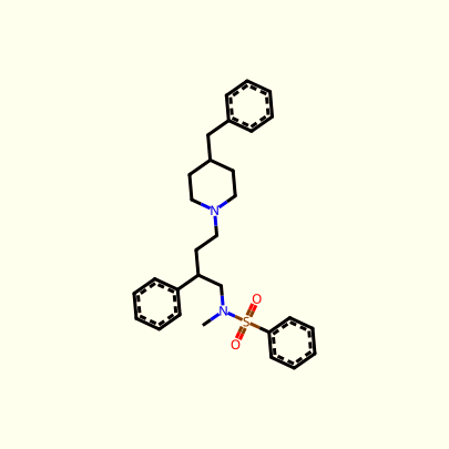 CN(CC(CCN1CCC(Cc2ccccc2)CC1)c1ccccc1)S(=O)(=O)c1ccccc1